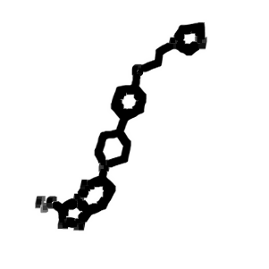 FC(F)(F)c1nnc2ccc(N3CCC(c4ccc(OCCn5ccnc5)cc4)CC3)nn12